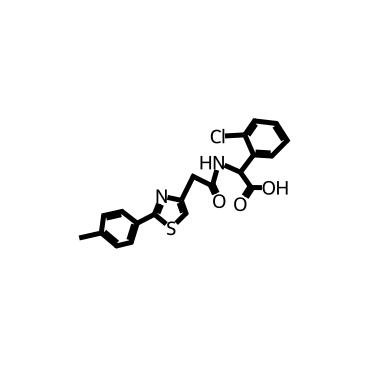 Cc1ccc(-c2nc(CC(=O)NC(C(=O)O)c3ccccc3Cl)cs2)cc1